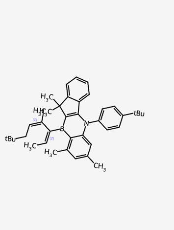 C/C=C(B1C2=C(c3ccccc3C2(C)C)N(c2ccc(C(C)(C)C)cc2)c2cc(C)cc(C)c21)\C(C)=C/CC(C)(C)C